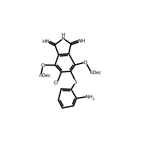 CCCCCCCCCCOc1c(Cl)c(Sc2ccccc2N)c(OCCCCCCCCCC)c2c1C(=N)NC2=N